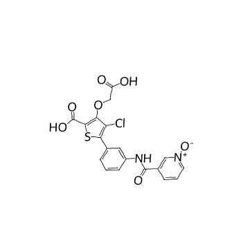 O=C(O)COc1c(C(=O)O)sc(-c2cccc(NC(=O)c3ccc[n+]([O-])c3)c2)c1Cl